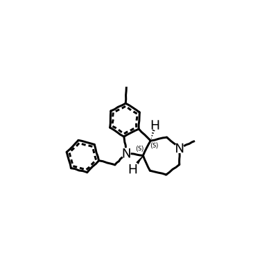 Cc1ccc2c(c1)[C@H]1CN(C)CCC[C@@H]1N2Cc1ccccc1